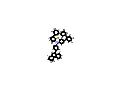 C1=C=C(N(c2ccc(-c3ccccc3-c3ccccc3)cc2)c2cccc3c2sc2ccccc23)C=CC=1c1cc2ccccc2c2ccccc12